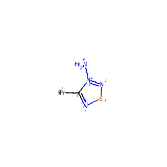 CC(C)c1nsn[n+]1N